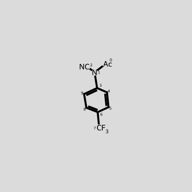 CC(=O)N(C#N)c1ccc(C(F)(F)F)cc1